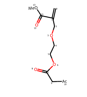 C=C(COCCOC(=O)CC(C)=O)C(=O)OC